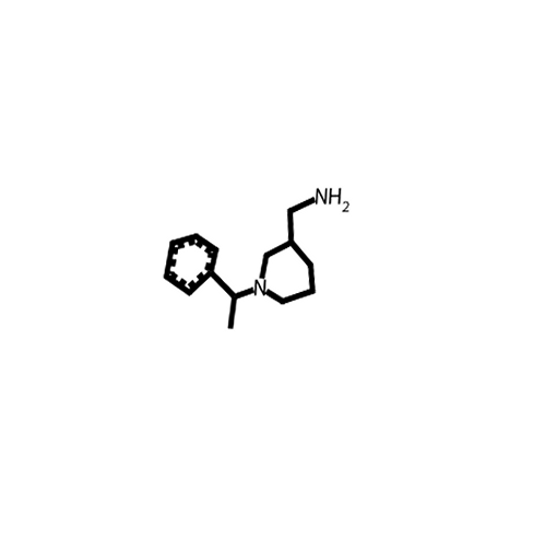 CC(c1ccccc1)N1CCCC(CN)C1